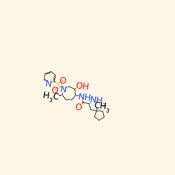 C[C@@H]1CC[C@H](NC(=O)C(N)CC2(C)CCCC2)[C@H](O)CN1S(=O)(=O)c1ccccn1